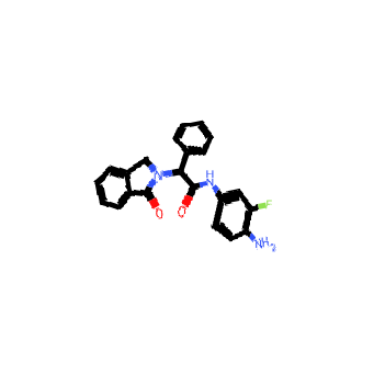 Nc1ccc(NC(=O)C(c2ccccc2)N2Cc3ccccc3C2=O)cc1F